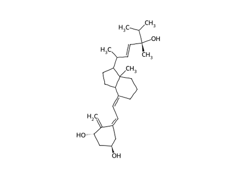 C=C1/C(=C\C=C2/CCCC3(C)C2CCC3C(C)/C=C/[C@@](C)(O)C(C)C)C[C@@H](O)C[C@@H]1O